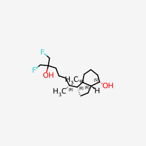 C[C@H](CCCC(O)(CF)CF)[C@H]1CC[C@H]2[C@@H](O)CCC[C@]12C